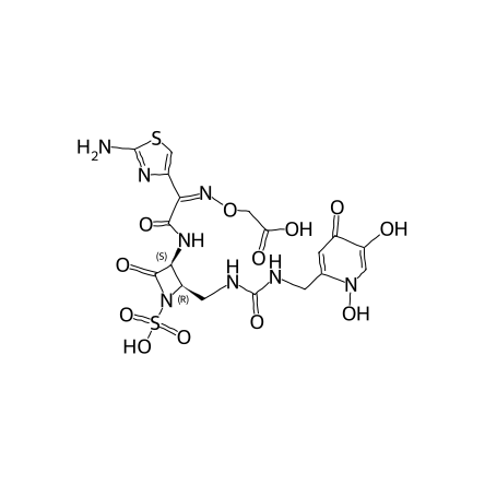 Nc1nc(C(=NOCC(=O)O)C(=O)N[C@@H]2C(=O)N(S(=O)(=O)O)[C@@H]2CNC(=O)NCc2cc(=O)c(O)cn2O)cs1